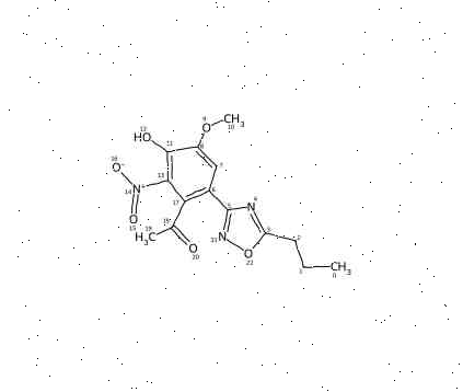 CCCc1nc(-c2cc(OC)c(O)c([N+](=O)[O-])c2C(C)=O)no1